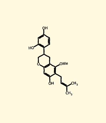 COc1c(CC=C(C)C)c(O)cc2c1CC(c1ccc(O)cc1O)CO2